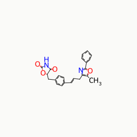 Cc1oc(-c2ccccc2)nc1C/C=C/c1ccc(CC2OC(=O)NC2=O)cc1